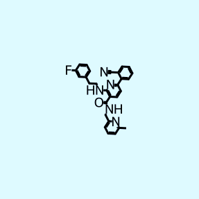 Cc1cccc(CNC(=O)c2ccc(-c3ccccc3C#N)nc2NCCc2cccc(F)c2)n1